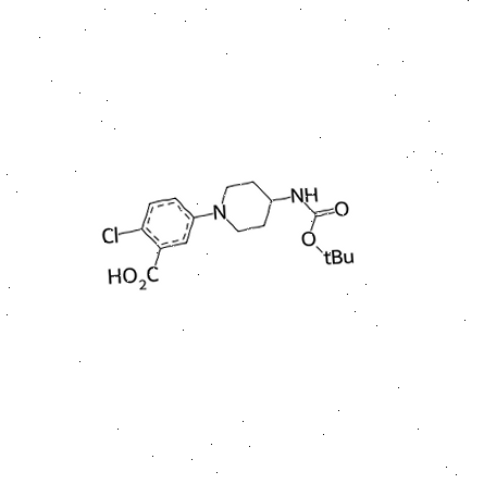 CC(C)(C)OC(=O)NC1CCN(c2ccc(Cl)c(C(=O)O)c2)CC1